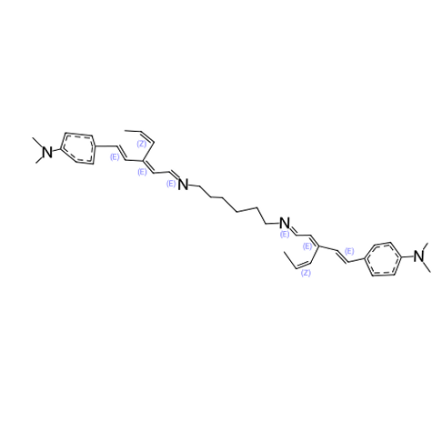 C\C=C/C(/C=C/c1ccc(N(C)C)cc1)=C\C=N\CCCCCC/N=C/C=C(\C=C/C)/C=C/c1ccc(N(C)C)cc1